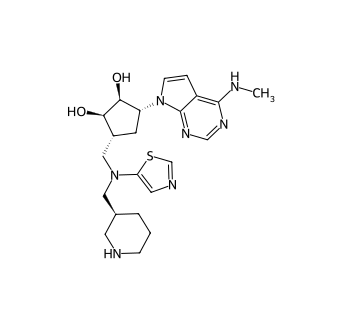 CNc1ncnc2c1ccn2[C@@H]1C[C@H](CN(C[C@H]2CCCNC2)c2cncs2)[C@@H](O)[C@H]1O